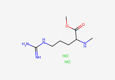 CNC(CCCNC(=N)N)C(=O)OC.Cl.Cl